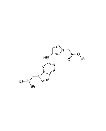 CC[C@H](Cn1ccc2cnc(Nc3cnn(CC(=O)OC(C)C)c3)nc21)C(C)C